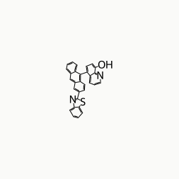 Oc1ccc(-c2c3ccccc3cc3cc(-c4nc5ccccc5s4)ccc23)c2cccnc12